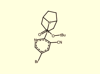 CC(C)(C)OC(=O)N1C2CCC1CN(c1ncc(Br)cc1C#N)C2